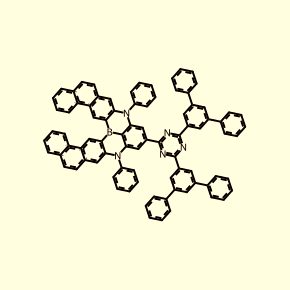 c1ccc(-c2cc(-c3ccccc3)cc(-c3nc(-c4cc(-c5ccccc5)cc(-c5ccccc5)c4)nc(-c4cc5c6c(c4)N(c4ccccc4)c4cc7ccc8ccccc8c7cc4B6c4cc6c(ccc7ccccc76)cc4N5c4ccccc4)n3)c2)cc1